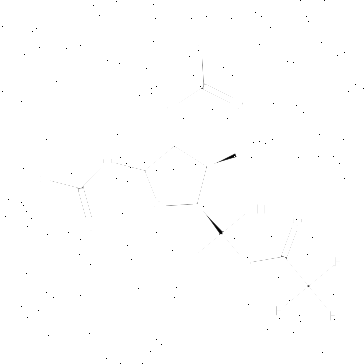 CC(=O)OC1O[C@H](C(C)(C)OC(=O)C(F)(F)F)[C@H](F)[C@H]1OC(C)=O